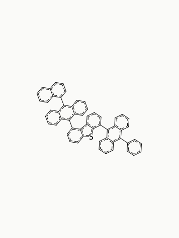 c1ccc(-c2c3ccccc3c(-c3cccc4c3sc3cccc(-c5c6ccccc6c(-c6cccc7ccccc67)c6ccccc56)c34)c3ccccc23)cc1